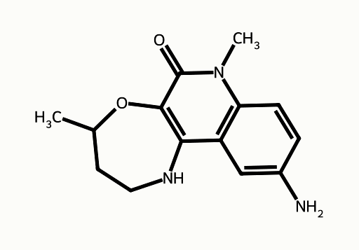 CC1CCNc2c(c(=O)n(C)c3ccc(N)cc23)O1